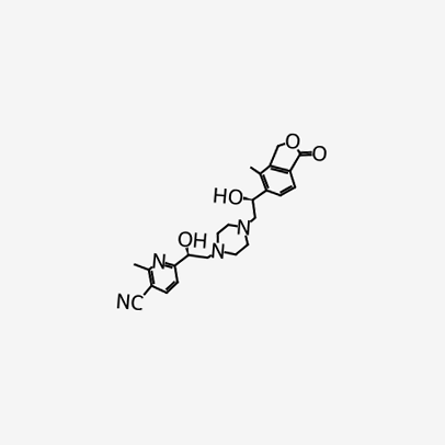 Cc1nc([C@@H](O)CN2CCN(C[C@@H](O)c3ccc4c(c3C)COC4=O)CC2)ccc1C#N